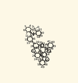 CC1(C)c2ccccc2N(c2cccc(-c3ccc4c(c3)Oc3ccccc3C43c4ccccc4P(=O)(c4ccccc4)c4cc5oc6ccccc6c5cc43)c2)c2ccccc21